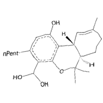 CCCCCc1cc(O)c2c(c1C(O)O)OC(C)(C)[C@@H]1CCC(C)=C[C@@H]21